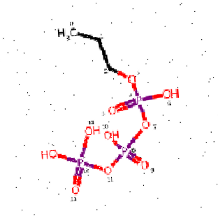 CCCOP(=O)(O)OP(=O)(O)OP(=O)(O)O